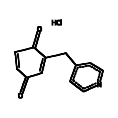 Cl.O=C1C=CC(=O)C(Cc2ccncc2)=C1